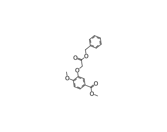 COC(=O)c1ccc(OC)c(OCC(=O)OCc2ccccc2)c1